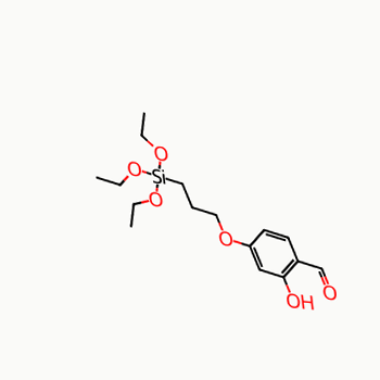 CCO[Si](CCCOc1ccc(C=O)c(O)c1)(OCC)OCC